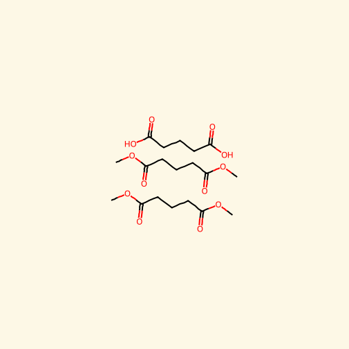 COC(=O)CCCC(=O)OC.COC(=O)CCCC(=O)OC.O=C(O)CCCC(=O)O